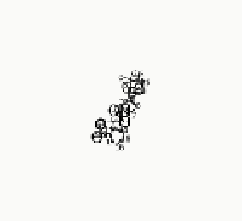 CC1(C)OB(C2=CCN(S(=O)(=O)Cc3ccccc3[N+](=O)[O-])C2)OC1(C)C